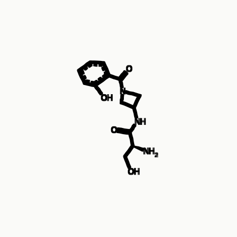 N[C@@H](CO)C(=O)NC1CN(C(=O)c2ccccc2O)C1